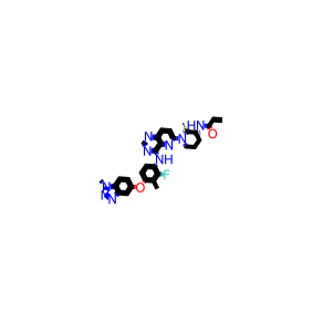 C=CC(=O)N[C@@H]1CCCN(c2ccc3ncnc(Nc4ccc(Oc5ccc6c(c5)nnn6C)c(C)c4F)c3n2)[C@@H]1C